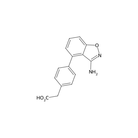 Nc1noc2cccc(-c3ccc(CC(=O)O)cc3)c12